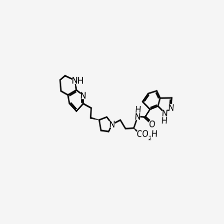 O=C(N[C@H](CCN1CC[C@@H](CCc2ccc3c(n2)NCCC3)C1)C(=O)O)c1cccc2cn[nH]c12